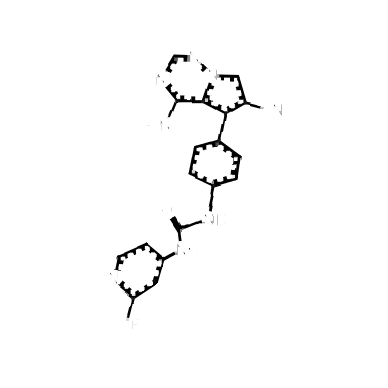 N#Cc1cn2ncnc(N)c2c1-c1ccc(NC(=O)Nc2ccnc(C(F)(F)F)c2)cc1